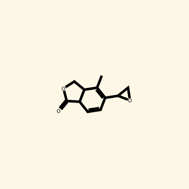 CC1=C(C2CO2)C=CC2C(=O)OCC12